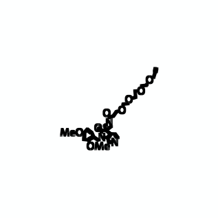 C#CCOCCOCCOCCOCCC(=O)N1CC2(C1)C(=O)N(Cc1ccc(OC)cc1OC)c1cnccc12